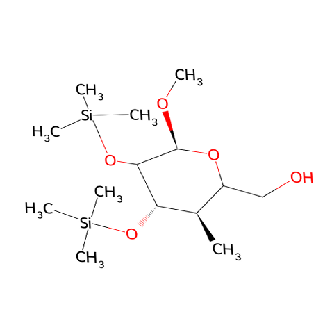 CO[C@H]1OC(CO)[C@@H](C)[C@H](O[Si](C)(C)C)C1O[Si](C)(C)C